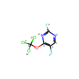 Fc1ncc(F)c(OC(Cl)(Cl)Cl)n1